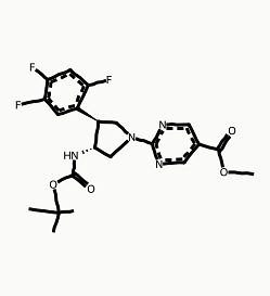 COC(=O)c1cnc(N2C[C@H](NC(=O)OC(C)(C)C)[C@@H](c3cc(F)c(F)cc3F)C2)nc1